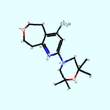 CC1(C)CN(c2cc(C(=O)O)c3c(n2)CCOCC3)CC(C)(C)O1